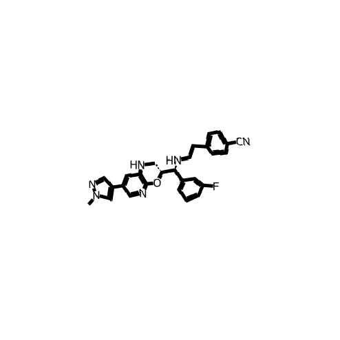 Cn1cc(-c2cnc3c(c2)NC[C@H]([C@H](NCCc2ccc(C#N)cc2)c2cccc(F)c2)O3)cn1